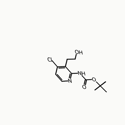 CC(C)(C)OC(=O)Nc1nccc(Cl)c1CCO